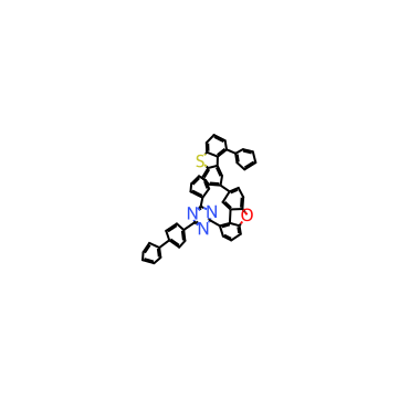 c1ccc(-c2ccc(-c3nc(-c4ccccc4)nc(-c4cccc5oc6ccc(-c7ccc8sc9cccc(-c%10ccccc%10)c9c8c7)cc6c45)n3)cc2)cc1